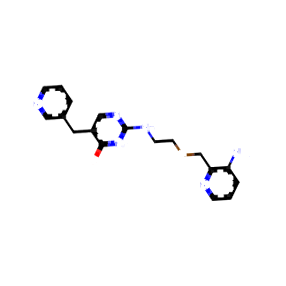 Nc1cccnc1CSCCNc1ncc(Cc2cccnc2)c(=O)[nH]1